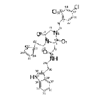 O=C(CC1C(=O)N(CCc2ccc(Cl)cc2Cl)CC(=O)N1CCc1cccs1)NCCc1c[nH]c2ccccc12